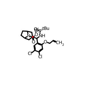 C=CCOc1cc(Cl)c(Cl)cc1C(N[S+]([O-])C(C)(C)C)C1CC2CCC(C1)N2C(=O)OC(C)(C)C